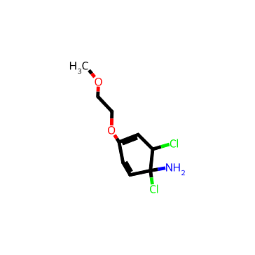 COCCOC1=CC(Cl)C(N)(Cl)C=C1